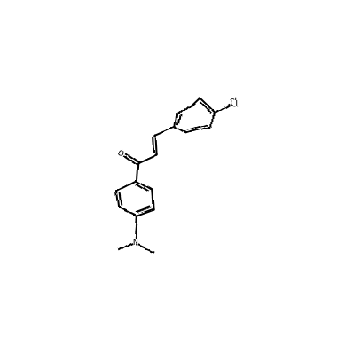 CN(C)c1ccc(C(=O)C=Cc2ccc(Cl)cc2)cc1